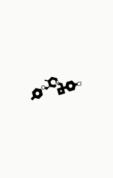 Cc1ccc(OC[C@@H]2CN(CC3(c4ccc(Cl)cc4)CCC3)CC[C@@H]2C)cc1